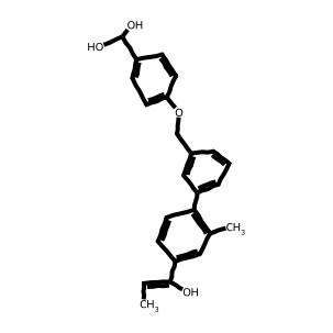 CC=C(O)c1ccc(-c2cccc(COc3ccc(C(O)O)cc3)c2)c(C)c1